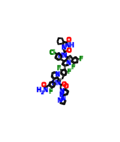 NC(=O)c1cc(-c2cccnc2[C@H](Cc2cc(F)c(-c3cnc([C@H](Cc4cc(F)cc(F)c4)NC(=O)Cn4[nH]c(=O)c5c4CCCC5)c(-c4ccc(Cl)cc4)c3)c(F)c2)NC(=O)Cn2nc(-n3cccn3)ccc2=O)ccc1F